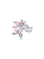 Cc1cn([C@@]2([C@@H]3OC(CCS(=O)(=O)O)(CCS(=O)(=O)O)[C@@H](OCc4ccc(Cl)cc4)[C@H]3CNC(=O)OC(C)(C)C)C[C@H](O)[C@@H](CO)O2)c(=O)[nH]c1=O